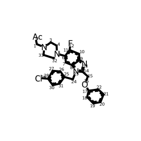 CC(=O)CN1CCN(c2cc3c(cc2F)nc(COc2ccccc2)n3Cc2ccc(Cl)cc2)CC1